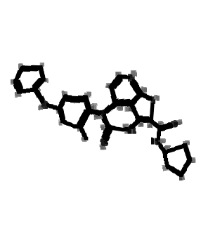 Cc1cc(Oc2ccccc2)ccc1N1C(=O)Nc2c(C(=O)NC3CCCC3)sc3nccc1c23